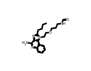 CCCCc1nc2c(N)nc3ccccc3c2n1CCOCCCNC=O